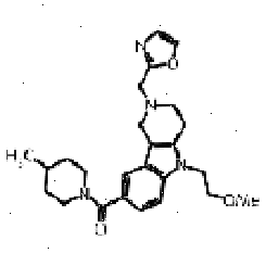 COCCn1c2c(c3cc(C(=O)N4CCC(C)CC4)ccc31)CN(Cc1ncco1)CC2